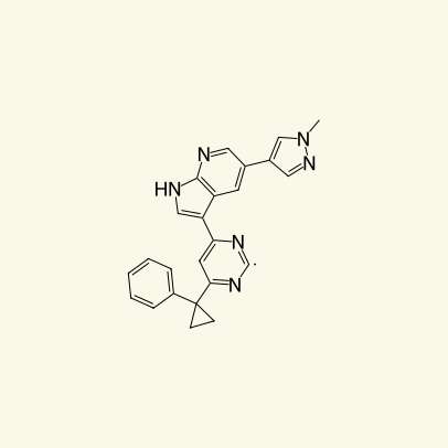 Cn1cc(-c2cnc3[nH]cc(-c4cc(C5(c6ccccc6)CC5)n[c]n4)c3c2)cn1